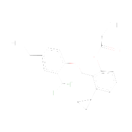 CCC(=O)Oc1cccc(C2CC2)c1COc1ccc(CC)cc1C(F)F